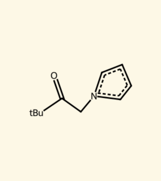 CC(C)(C)C(=O)Cn1cccc1